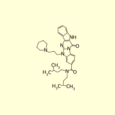 CC(C)CCN(CCC(C)C)C(=O)c1ccc2c(c1)n(CCCN1CCCCC1)c1nc3c([nH]c4ccccc43)c(=O)n21